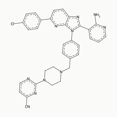 N#Cc1ccnc(N2CCN(Cc3ccc(-n4c(-c5cccnc5N)nc5ccc(-c6ccc(Cl)cc6)nc54)cc3)CC2)n1